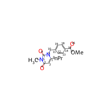 CCCc1cc(=O)n(C)c(=O)n1Cc1ccc(C(=O)OC)cc1